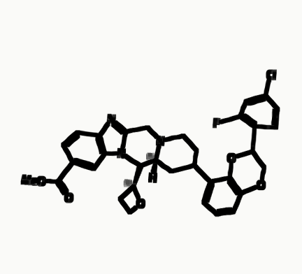 COC(=O)c1ccc2nc3n(c2c1)C([C@@H]1CCO1)[C@H]1CC(c2cccc4c2OC(c2ccc(Cl)cc2F)CO4)CCN1C3